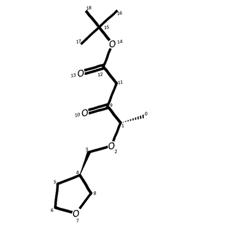 C[C@H](OC[C@@H]1CCOC1)C(=O)CC(=O)OC(C)(C)C